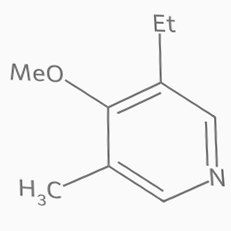 CCc1cncc(C)c1OC